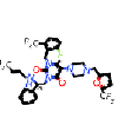 Cc1c(N2CCN(Cc3ccc(C(F)(F)F)o3)CC2)c(=O)n(C[C@H](NCC=CC(=O)O)c2ccccc2)c(=O)n1Cc1c(F)cccc1C(F)(F)F